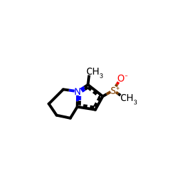 Cc1c([S+](C)[O-])cc2n1CCCC2